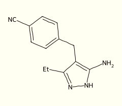 CCc1n[nH]c(N)c1Cc1ccc(C#N)cc1